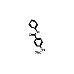 O=CNc1ccc(C(=O)Nc2ccccc2)cc1